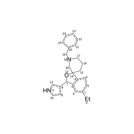 CCc1ccc2c(c1)C(c1cc[nH]c1)OC21CCCN(Cc2ccccc2)C1